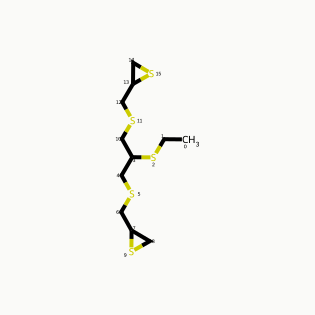 CCSC(CSCC1CS1)CSCC1CS1